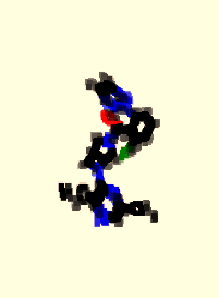 Cc1cnc(C)c(N2CC3CN(C(=O)c4c(F)cccc4-n4nccn4)CC32)n1